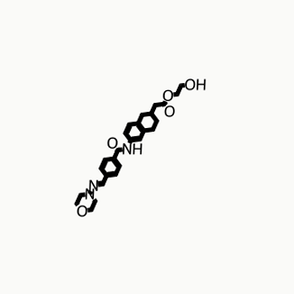 O=C(CC1CCc2cc(NC(=O)c3ccc(C=NN4CCOCC4)cc3)ccc2C1)OCCO